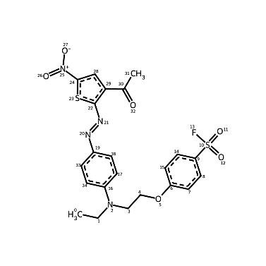 CCN(CCOc1ccc(S(=O)(=O)F)cc1)c1ccc(N=Nc2sc([N+](=O)[O-])cc2C(C)=O)cc1